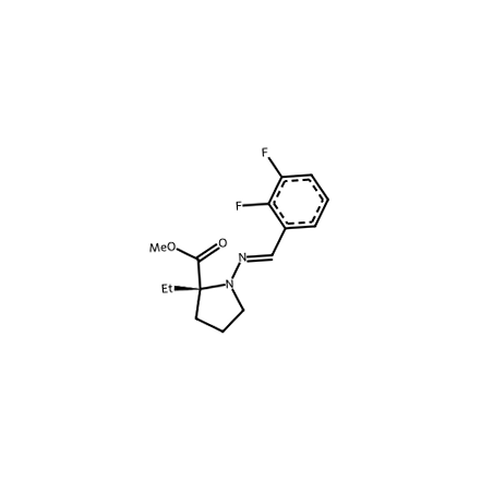 CC[C@]1(C(=O)OC)CCCN1N=Cc1cccc(F)c1F